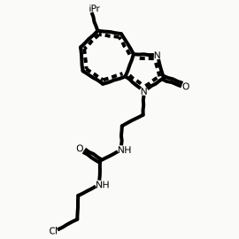 CC(C)c1cccc2n(CCNC(=O)NCCCl)c(=O)nc-2c1